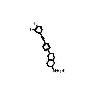 CCCCCCCC1CCC2CC(c3ccc(C#Cc4ccc(F)c(F)c4)cc3)CCC2C1